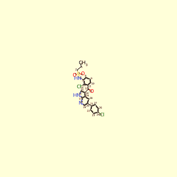 CCCS(=O)(=O)Nc1cccc(C(=O)c2c[nH]c3ncc(-c4ccc(Cl)cc4)cc23)c1Cl